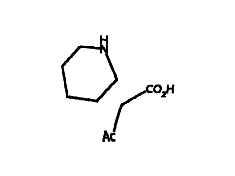 C1CCNCC1.CC(=O)CC(=O)O